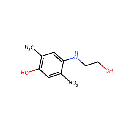 Cc1cc(NCCO)c([N+](=O)[O-])cc1O